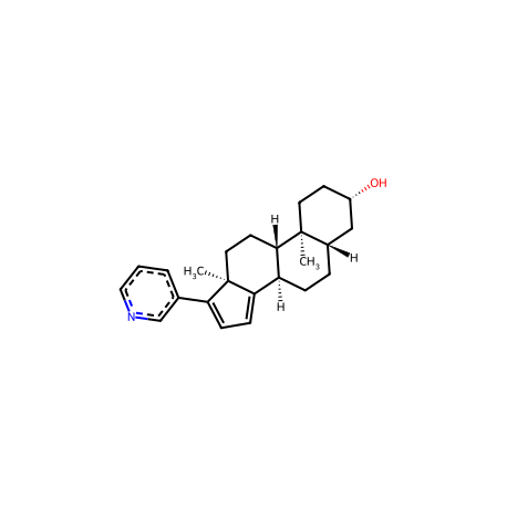 C[C@]12CC[C@H]3[C@@H](CC[C@H]4C[C@@H](O)CC[C@@]43C)C1=CC=C2c1cccnc1